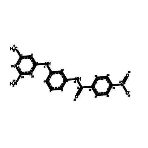 Cc1cc(Nc2cccc(NC(=O)c3ccc([N+](=O)[O-])cc3)c2)nc(N)n1